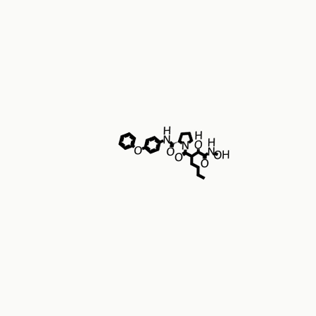 CCCCC(C(=O)N1CCC[C@H]1C(=O)Nc1ccc(Oc2ccccc2)cc1)C(O)C(=O)NO